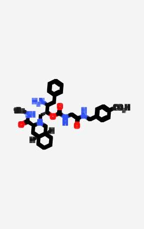 CC(C)(C)NC(=O)[C@@H]1C[C@@H]2CCCC[C@@H]2CN1C[C@@H](OC(=O)NCC(=O)NCc1ccc(C(=O)O)cc1)[C@@H](N)Cc1ccccc1